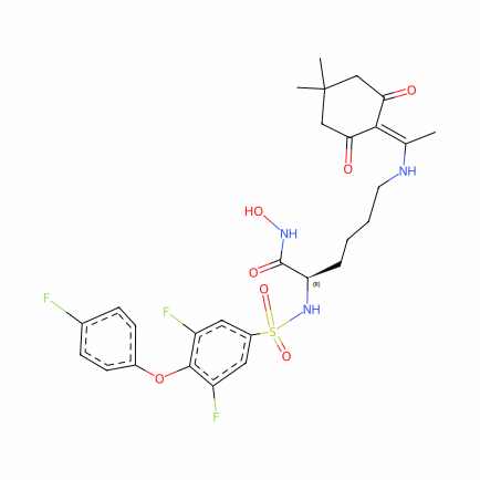 CC(NCCCC[C@@H](NS(=O)(=O)c1cc(F)c(Oc2ccc(F)cc2)c(F)c1)C(=O)NO)=C1C(=O)CC(C)(C)CC1=O